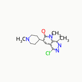 Cc1nnc(Cl)c2cc(C3CCN(C)CC3)c(=O)n(C)c12